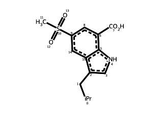 CC(C)Cc1c[nH]c2c(C(=O)O)cc(S(C)(=O)=O)cc12